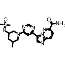 CC1CC(N=S(C)(C)=O)CN(c2cc(-c3cnc4ccc(C(N)=O)nn34)ncn2)C1